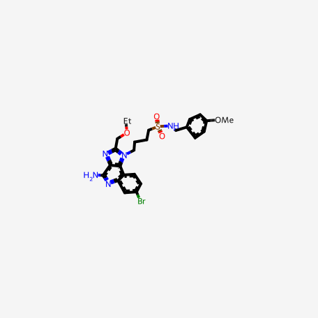 CCOCc1nc2c(N)nc3cc(Br)ccc3c2n1CCCCS(=O)(=O)NCc1ccc(OC)cc1